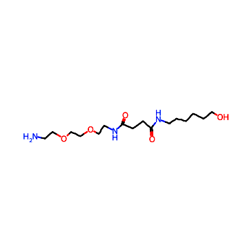 NCCOCCOCCNC(=O)CCC(=O)NCCCCCCO